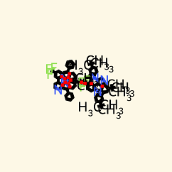 CC(C)(C)c1ccc2c(c1)c1cc(C(C)(C)C)ccc1n2-c1ccc(C(F)(F)F)cc1-c1ccncc1-n1c2ccc(C(C)(C)C)cc2c2cc(C(C)(C)Cc3cccc4c3c3cc(-c5ccccc5)ccc3n4-c3ccc(C(F)(F)F)cc3-c3ccncc3-n3c4ccccc4c4cc(-c5ccccc5)ccc43)ccc21